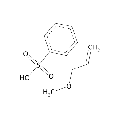 C=CCOC.O=S(=O)(O)c1ccccc1